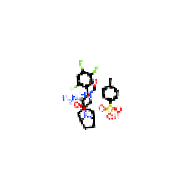 Cc1ccc(S(=O)(=O)O)cc1.N[C@H](Cc1cc(F)c(F)cc1F)C1CC2CCC(C1)N2C(=O)CNC=O